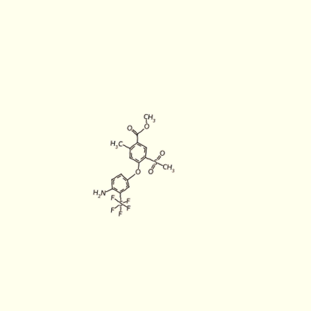 COC(=O)c1cc(S(C)(=O)=O)c(Oc2ccc(N)c(S(F)(F)(F)(F)F)c2)cc1C